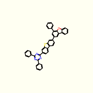 c1ccc(-c2nc(-c3ccccc3)nc(-c3ccc4c(c3)sc3cc(-c5cc(-c6ccccc6)c6oc7ccccc7c6c5)ccc34)n2)cc1